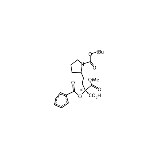 COC(=O)[C@@](CCC1CCCN1C(=O)OC(C)(C)C)(OC(=O)c1ccccc1)C(=O)O